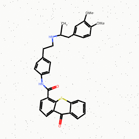 COc1ccc(CC(C)NCCc2ccc(NC(=O)c3cccc4c(=O)c5ccccc5sc34)cc2)cc1OC